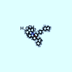 CC1(C)c2ccccc2-c2c(N(c3cccc(-c4ccc(-c5ccc6ccccc6c5)cc4)c3)c3ccccc3-c3ccc(-c4cccc5ccccc45)cc3)cccc21